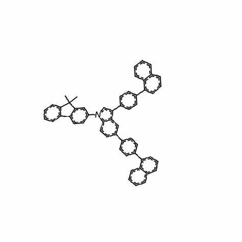 CC1(C)c2ccccc2-c2ccc(-n3cc(-c4ccc(-c5cccc6ccccc56)cc4)c4cc(-c5ccc(-c6cccc7ccccc67)cc5)ccc43)cc21